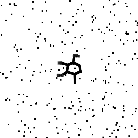 COC1CCC(C)C(C=O)C1O